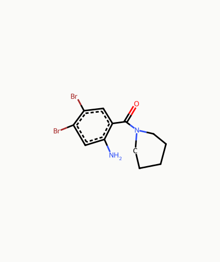 Nc1cc(Br)c(Br)cc1C(=O)N1CCCCC1